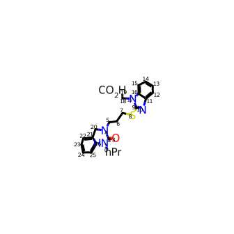 CCCNC(=O)N(CCCSc1nc2ccccc2n1CC(=O)O)Cc1ccccc1